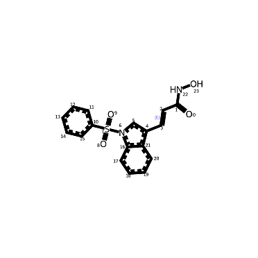 O=C(/C=C/c1cn(S(=O)(=O)c2ccccc2)c2ccccc12)NO